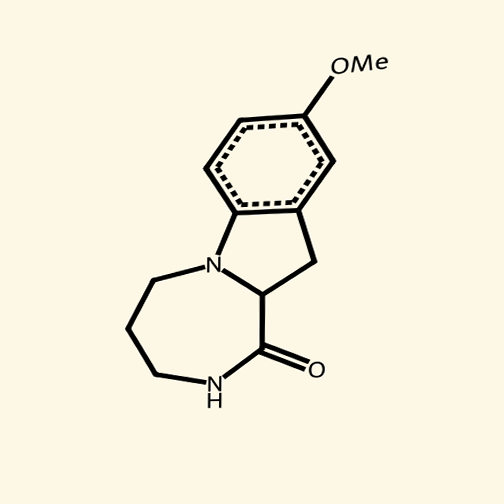 COc1ccc2c(c1)CC1C(=O)NCCCN21